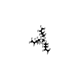 FC(F)C(F)C(F)(F)C(F)(F)OC([SiH3])(OC(F)(F)C(F)(F)C(F)C(F)F)OC(F)(F)C(F)(F)C(F)C(F)F